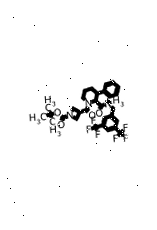 CN(Cc1cc(C(F)(F)F)cc(C(F)(F)F)c1)C(=O)C1C(c2ccccc2)CCCN1C(=O)C1CN(C(=O)OC(C)(C)C)C1